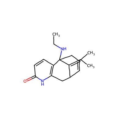 C/C=C1\C2C=C(C)CC1(NCC)c1ccc(=O)[nH]c1C2